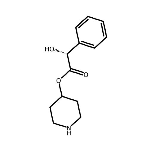 O=C(OC1CCNCC1)[C@H](O)c1ccccc1